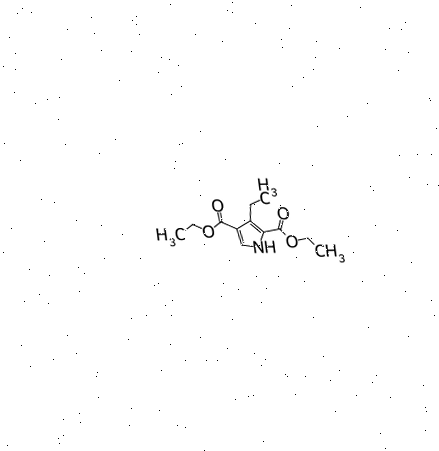 CCOC(=O)c1c[nH]c(C(=O)OCC)c1CC